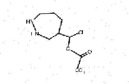 O=C(OC(Cl)C1CCCNNC1)C(Cl)(Cl)Cl